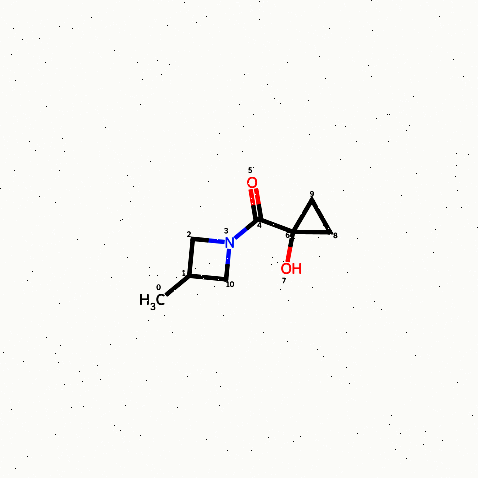 CC1CN(C(=O)C2(O)CC2)C1